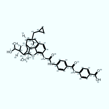 CC(O)[C@H]1C[C@@]23CC[C@@]1(C)[C@@H]1Oc4c(OC(=O)Nc5ccc(C(=O)Oc6ccc(C(=O)O)cc6)cc5)ccc5c4[C@@]12CCN(CC1CC1)[C@@H]3C5